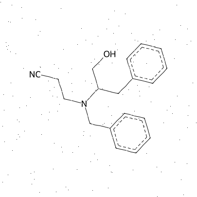 N#CCCN(Cc1ccccc1)C(CO)Cc1ccccc1